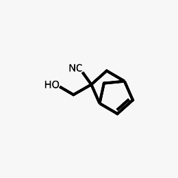 N#CC1(CO)CC2C=CC1C2